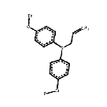 C=CC[S+](c1ccc(OCC)cc1)c1ccc(OCC)cc1